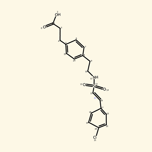 O=C(O)CCc1ccc(CCNS(=O)(=O)/C=C/c2ccc(Cl)cc2)cc1